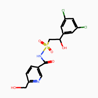 O=C(NS(=O)(=O)CC(O)c1cc(Cl)cc(Cl)c1)c1ccc(CO)nc1